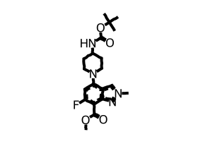 COC(=O)c1c(F)cc(N2CCC(NC(=O)OC(C)(C)C)CC2)c2cn(C)nc12